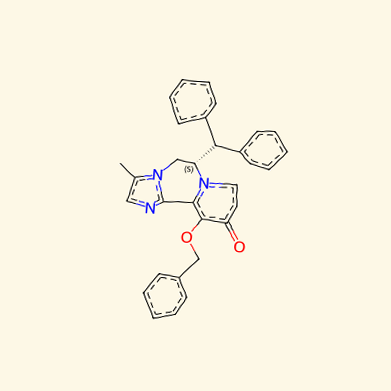 Cc1cnc2n1C[C@H](C(c1ccccc1)c1ccccc1)n1ccc(=O)c(OCc3ccccc3)c1-2